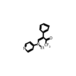 CCN(/C=C(\C(=O)C(F)(F)F)c1ccccc1)c1ccncc1